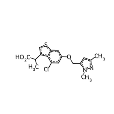 Cc1cc(COc2cc(Cl)c3c(C(C)C(=O)O)csc3c2)n(C)n1